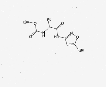 CCC(NC(=O)OC(C)(C)C)C(=O)Nc1cc(C(C)(C)C)on1